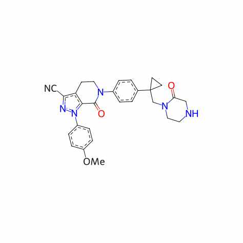 COc1ccc(-n2nc(C#N)c3c2C(=O)N(c2ccc(C4(CN5CCNCC5=O)CC4)cc2)CC3)cc1